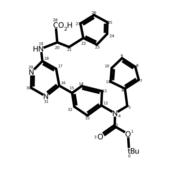 CC(C)(C)OC(=O)N(Cc1ccccc1)c1ccc(-c2cc(NC(Cc3ccccc3)C(=O)O)ncn2)cc1